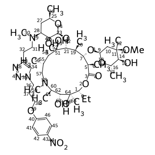 CC[C@H]1OC(=O)[C@H](C)[C@@H](O[C@H]2C[C@@](C)(OC)[C@@H](O)[C@H](C)O2)[C@H](C)[C@@H](O[C@@H]2O[C@H](C)C[C@H](N(C)CCc3cn(CCCOc4ccc([N+](=O)[O-])cc4)nn3)[C@H]2O)[C@](C)(O)C[C@@H](C)CN(C)[C@H](C)[C@@H](O)[C@]1(C)O